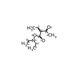 CC=C(C(C)=O)C(=O)ON(CC)CC